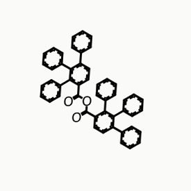 O=C(OC(=O)c1ccc(-c2ccccc2)c(-c2ccccc2)c1-c1ccccc1)c1ccc(-c2ccccc2)c(-c2ccccc2)c1-c1ccccc1